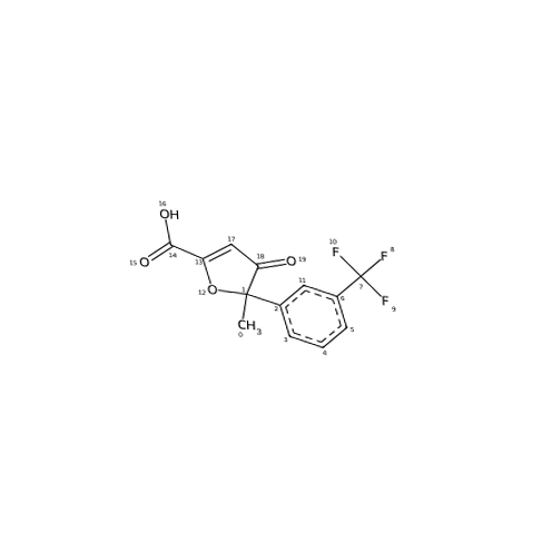 CC1(c2cccc(C(F)(F)F)c2)OC(C(=O)O)=CC1=O